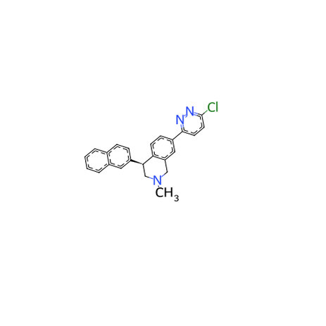 CN1Cc2cc(-c3ccc(Cl)nn3)ccc2[C@H](c2ccc3ccccc3c2)C1